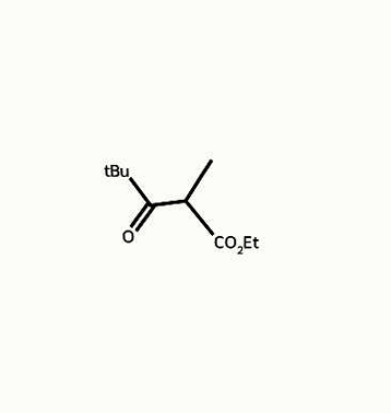 CCOC(=O)C(C)C(=O)C(C)(C)C